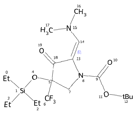 CC[Si](CC)(CC)OC1(C(F)(F)F)CN(C(=O)OC(C)(C)C)/C(=C/N(C)C)C1=O